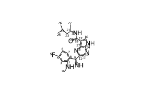 CNc1cc(F)ccc1C(=N)c1cnc2[nH]cc(C(=O)NC(C)CC(C)C)c2n1